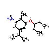 CCC(CC)O[C@@H]1C=C(C(C)C)C[C@H](N)[C@H]1C